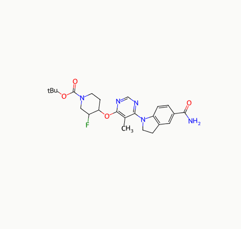 Cc1c(OC2CCN(C(=O)OC(C)(C)C)CC2F)ncnc1N1CCc2cc(C(N)=O)ccc21